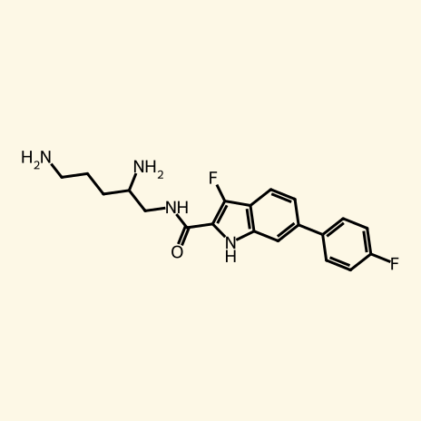 NCCCC(N)CNC(=O)c1[nH]c2cc(-c3ccc(F)cc3)ccc2c1F